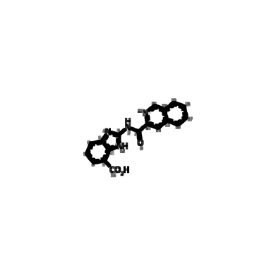 O=C(Nc1nc2cccc(C(=O)O)c2[nH]1)c1cc2ccccc2cn1